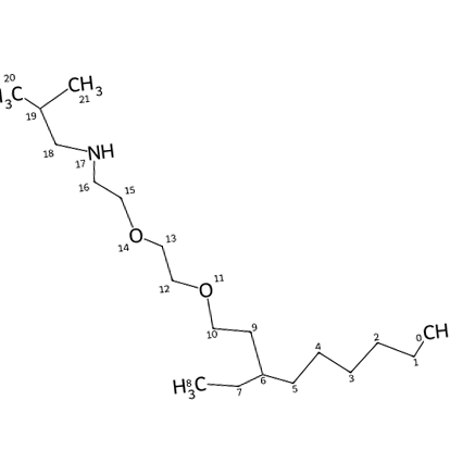 CCCCCCC(CC)CCOCCOCCNCC(C)C